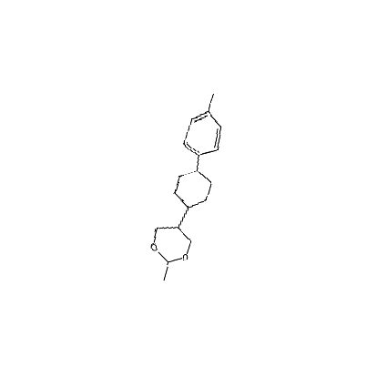 Cc1ccc(C2CCC(C3COC(C)OC3)CC2)cc1